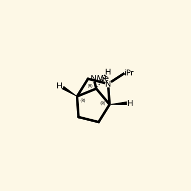 CN[C@@H]1[C@@H]2CC[C@H]1N(C(C)C)C2